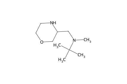 CN(CC1COCCN1)C(C)(C)C